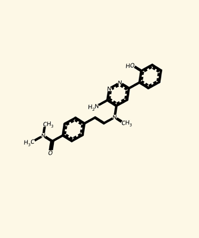 CN(C)C(=O)c1ccc(CCN(C)c2cc(-c3ccccc3O)nnc2N)cc1